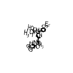 CC1(NC(=O)c2cnc3c(-c4cccc(OC(F)F)c4)nn([C@@H](I)C(C)(C)O)c3c2)CS(=O)(=O)C1